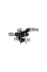 COc1ccc(CN(c2nn(CC(F)F)c3c(-n4c([C@H](Cc5cc(F)cc(F)c5)NC(=O)O)nc5cc(C(C)(C)C)ccc5c4=O)ccc(Cl)c23)S(=O)(=O)C2CC2)cc1